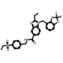 CCc1nc2cc(C(=O)NCc3ccc(S(=O)(=O)CC)cc3)ccc2n1Cc1cccc2c1OC(F)(F)O2